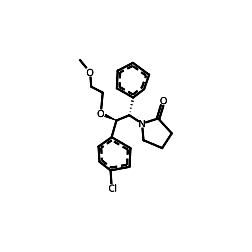 COCCO[C@H](c1ccc(Cl)cc1)[C@H](c1ccccc1)N1CCCC1=O